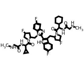 CNCC(=O)NC(C(=O)N1CC(F)CC1Cc1c(-c2nc3cc(F)ccc3n2CC2CC(F)CN2C(=O)C(NC(=O)CNC)C2CC2)[nH]c2cc(F)ccc12)C1CCCCC1